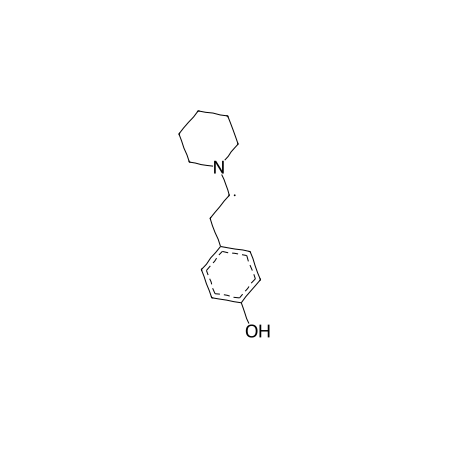 Oc1ccc(C[CH]N2CCCCC2)cc1